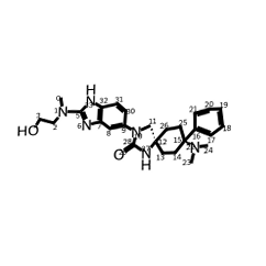 CN(CCO)c1nc2cc(N3C[C@]4(CC[C@](c5ccccc5)(N(C)C)CC4)NC3=O)ccc2[nH]1